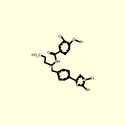 CCn1cc(-c2ccc(C[C@@H](CCC(=O)O)NC(=O)c3ccc(OC(C)C)c(Cl)c3)cc2)nc1C(C)C